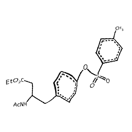 CCOC(=O)CC(Cc1ccc(OS(=O)(=O)c2ccc(C)cc2)cc1)NC(C)=O